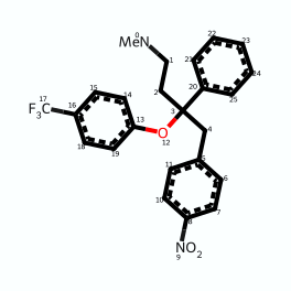 CNCCC(Cc1ccc([N+](=O)[O-])cc1)(Oc1ccc(C(F)(F)F)cc1)c1ccccc1